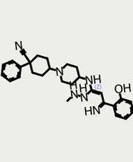 CNN/C(=C\C(=N)c1ccccc1O)NC1CCN(C2CCC(C#N)(c3ccccc3)CC2)CC1